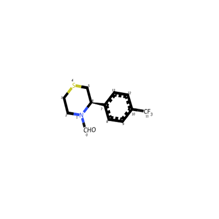 O=CN1CCSC[C@H]1c1ccc(C(F)(F)F)cc1